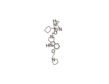 N#CC1(NC(=O)[C@@H]2CCCC[C@H]2C(=O)N2CCc3[nH]c4c(OCCN5CCCCC5)cccc4c3C2)CC1